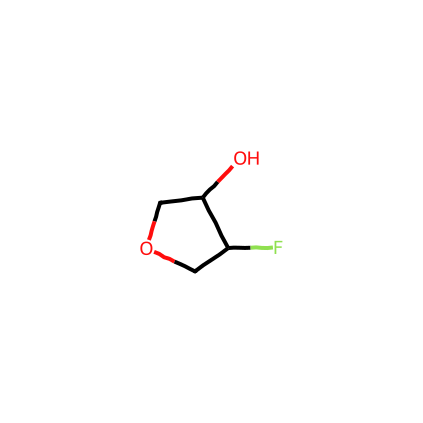 OC1COCC1F